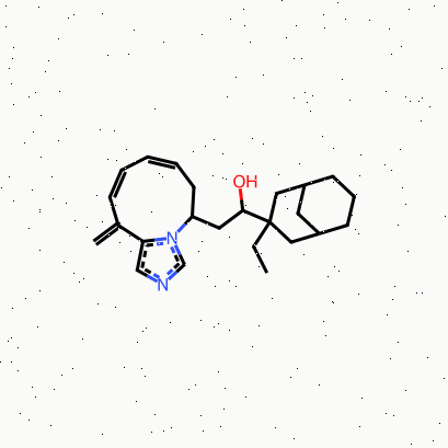 C=C1/C=C\C=C/CC(CC(O)C2(CC)CC3CCCC(C3)C2)n2cncc21